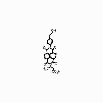 CC(CC(=O)O)N1C(=O)c2ccc3c4c(ccc(c24)C1=O)C(=O)N(c1ccc(CCO)cc1)C3=O